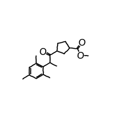 COC(=O)C1CCC(C(=O)C(C)c2c(C)cc(C)cc2C)C1